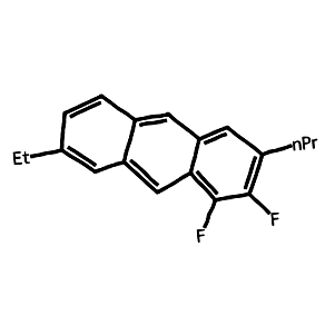 CCCc1cc2cc3ccc(CC)cc3cc2c(F)c1F